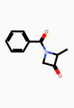 CC1C(=O)CN1C(=O)c1ccccc1